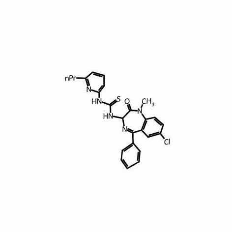 CCCc1cccc(NC(=S)NC2N=C(c3ccccc3)c3cc(Cl)ccc3N(C)C2=O)n1